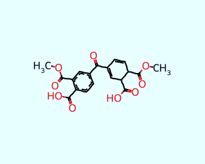 COC(=O)c1cc(C(=O)C2=CC(C(=O)O)C(C(=O)OC)C=C2)ccc1C(=O)O